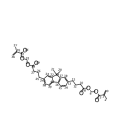 C=C(C)C(=O)OCOC(=O)CCCc1ccc2c(c1)C(C)(C)c1cc(CCCC(=O)OCOC(=O)C(=C)C)ccc1-2